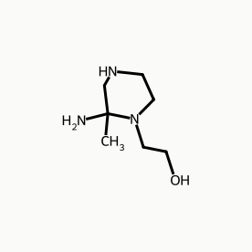 CC1(N)CNCCN1CCO